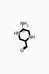 N[C@@H]1CNC(C=O)CN1